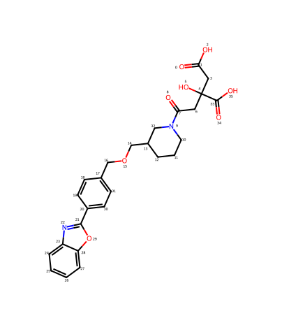 O=C(O)CC(O)(CC(=O)N1CCCC(COCc2ccc(-c3nc4ccccc4o3)cc2)C1)C(=O)O